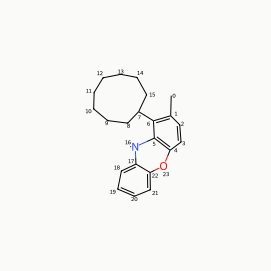 Cc1ccc2c(c1C1CCCCCCCC1)[N]c1ccccc1O2